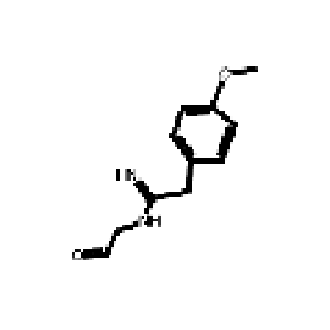 COc1ccc(CC(=N)NC[C]=O)cc1